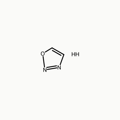 [HH].c1conn1